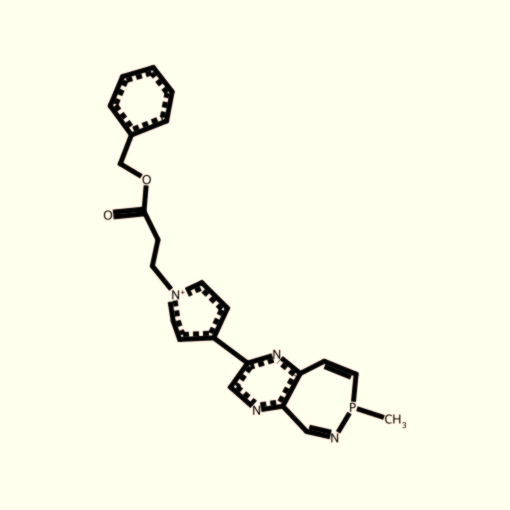 CP1C=Cc2nc(-c3cc[n+](CCC(=O)OCc4ccccc4)cc3)cnc2C=N1